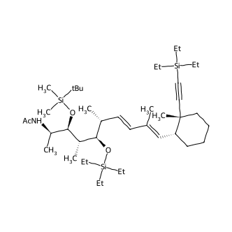 CC[Si](C#C[C@]1(C)CCCC[C@@H]1/C=C(C)/C=C/[C@@H](C)[C@@H](O[Si](CC)(CC)CC)[C@H](C)[C@H](O[Si](C)(C)C(C)(C)C)[C@@H](C)NC(C)=O)(CC)CC